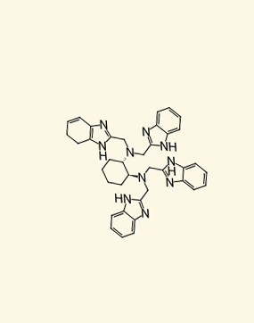 C1=Cc2nc(CN(Cc3nc4ccccc4[nH]3)[C@H]3CCCC[C@@H]3N(Cc3nc4ccccc4[nH]3)Cc3nc4ccccc4[nH]3)[nH]c2CC1